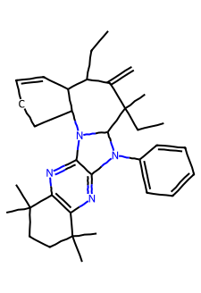 C=C1C(CC)C2C=CCCC2N2c3nc4c(nc3N(c3ccccc3)C2C1(C)CC)C(C)(C)CCC4(C)C